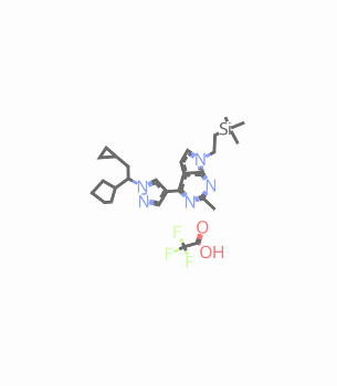 Cc1nc(-c2cnn(C(CC3CC3)C3CCCC3)c2)c2ccn(CC[Si](C)(C)C)c2n1.O=C(O)C(F)(F)F